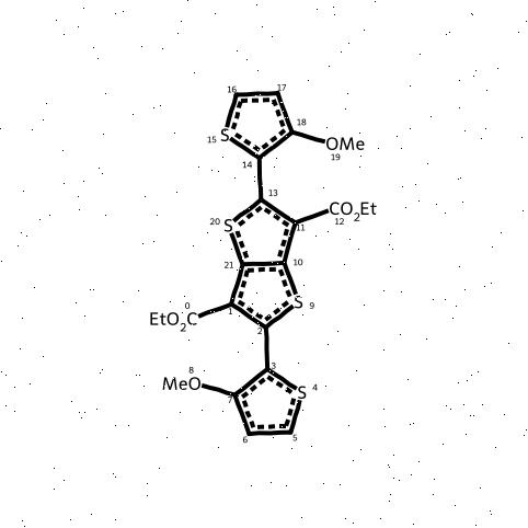 CCOC(=O)c1c(-c2sccc2OC)sc2c(C(=O)OCC)c(-c3sccc3OC)sc12